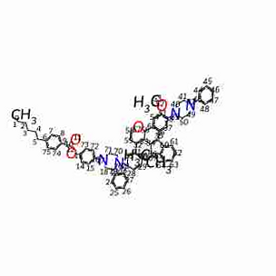 CCCCCCc1ccc(C(=O)Oc2ccc(N3CCN(C4(c5ccccc5)C=CC=C(C5=C6C7=C(c8cc(N9CCN(c%10ccccc%10)CC9)c(OC)cc8C6OC=C5)c5ccccc5C7(C)C)C4)CC3)cc2)cc1